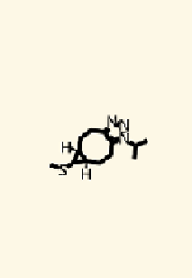 CSC1[C@H]2CCc3c(nnn3C(C)C)CC[C@@H]12